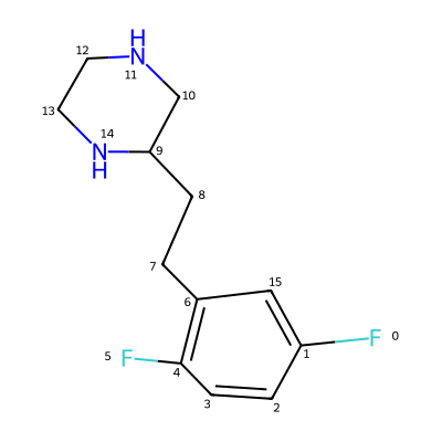 Fc1ccc(F)c(CCC2CNCCN2)c1